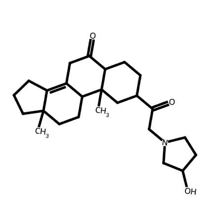 CC12CCCC1=C1CC(=O)C3CCC(C(=O)CN4CCC(O)C4)CC3(C)C1CC2